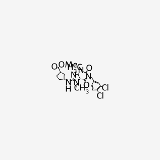 COC(=O)C1CCC(NC2=NC3C(C(=O)N(Cc4ccc(Cl)c(Cl)c4)C(=O)N3C)N2C)C1